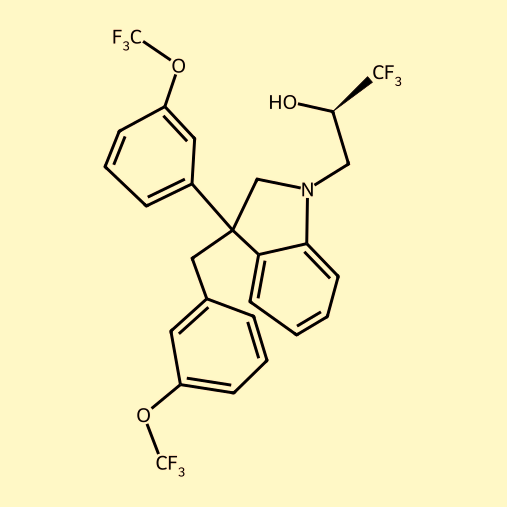 O[C@H](CN1CC(Cc2cccc(OC(F)(F)F)c2)(c2cccc(OC(F)(F)F)c2)c2ccccc21)C(F)(F)F